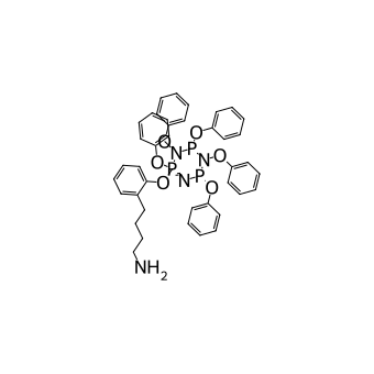 NCCCCc1ccccc1OP1(Oc2ccccc2)=NP(Oc2ccccc2)N(Oc2ccccc2)P(Oc2ccccc2)N1Oc1ccccc1